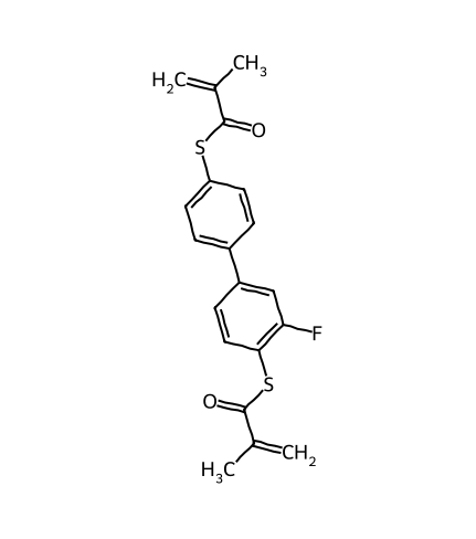 C=C(C)C(=O)Sc1ccc(-c2ccc(SC(=O)C(=C)C)c(F)c2)cc1